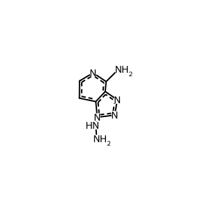 NNn1nnc2c(N)nccc21